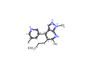 CCOC(=O)CCc1c(C(C)=O)nc2c(cnn2CC)c1-c1cncc(C)c1